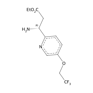 CCOC(=O)C[C@@H](N)c1ccc(OCC(F)(F)F)cn1